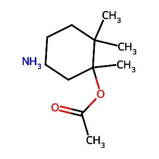 CC(=O)OC1(C)CCCCC1(C)C.N